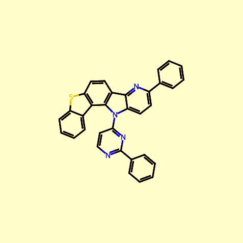 c1ccc(-c2ccc3c(n2)c2ccc4sc5ccccc5c4c2n3-c2ccnc(-c3ccccc3)n2)cc1